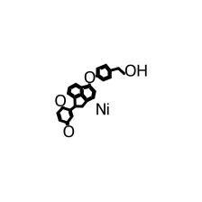 O=C1C=CC(=O)C(C2Cc3ccc(Oc4ccc(CCO)cc4)c4cccc2c34)=C1.[Ni]